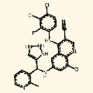 Cc1ncccc1[C@H](Nc1cc(Cl)c2ncc(C#N)c(Nc3ccc(Cl)c(Cl)c3F)c2c1)C1=CNNN1